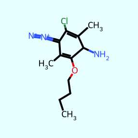 CCCCOC1=C(C)C(=[N+]=[N-])C(Cl)=C(C)C1N